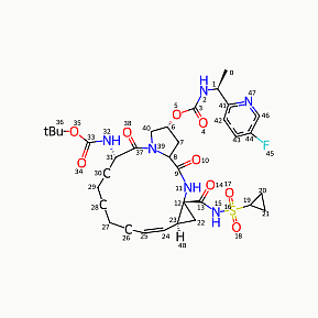 C[C@H](NC(=O)O[C@@H]1CC2C(=O)N[C@]3(C(=O)NS(=O)(=O)C4CC4)C[C@H]3/C=C\CCCCC[C@H](NC(=O)OC(C)(C)C)C(=O)N2C1)c1ccc(F)cn1